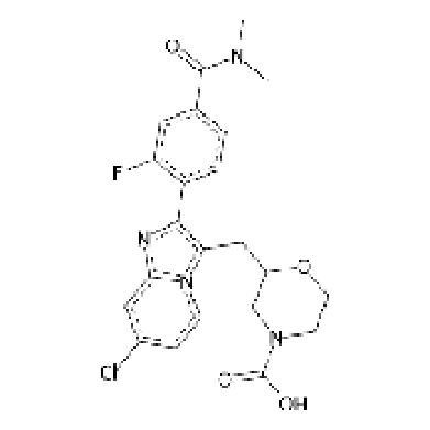 CN(C)C(=O)c1ccc(-c2nc3cc(Cl)ccn3c2CC2CN(C(=O)O)CCO2)c(F)c1